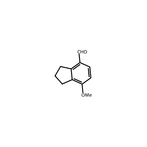 COc1ccc(C=O)c2c1CCC2